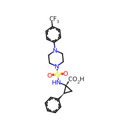 O=C(O)[C@@]1(NS(=O)(=O)N2CCN(c3ccc(C(F)(F)F)cc3)CC2)C[C@H]1c1ccccc1